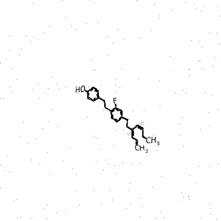 C=C/C=C(\C=C/CC)CCc1ccc(CCc2ccc(O)cc2)c(F)c1